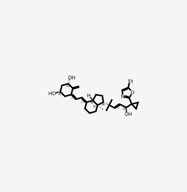 C=C1/C(=C\C=C2/CCC[C@]3(C)[C@@H](C(C)(C)/C=C/[C@H](O)C4(c5ncc(CC)o5)CC4)CC[C@@H]23)C[C@@H](O)C[C@@H]1O